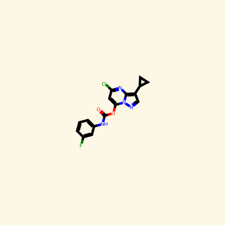 O=C(Nc1cccc(F)c1)Oc1cc(Cl)nc2c(C3CC3)cnn12